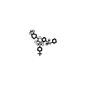 CC(C)(C)c1ccc(S(=O)(=O)NC(=O)C(Oc2ccc(S(=O)(=O)Nc3ccccc3)cc2)c2ccc3nsnc3c2)cc1